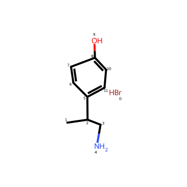 Br.CC(CN)c1ccc(O)cc1